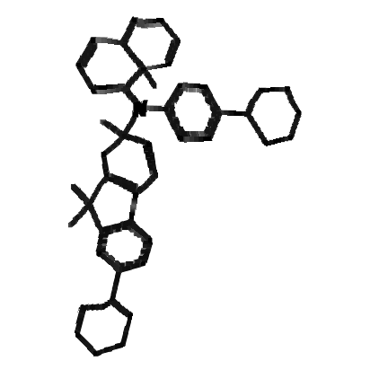 CC1(C)C2=C(C=CC(C)(N(C3=CC=CC4C=CC=CC34C)c3ccc(C4CCCCC4)cc3)C2)c2ccc(C3CCCCC3)cc21